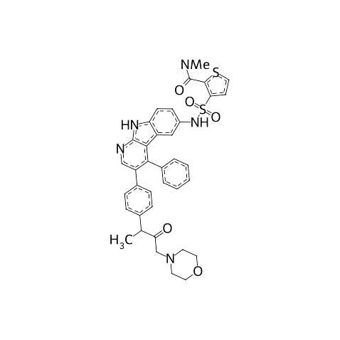 CNC(=O)c1sccc1S(=O)(=O)Nc1ccc2[nH]c3ncc(-c4ccc(C(C)C(=O)CN5CCOCC5)cc4)c(-c4ccccc4)c3c2c1